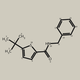 CC(C)(C)c1ccc(C(=O)NCc2ccccc2)s1